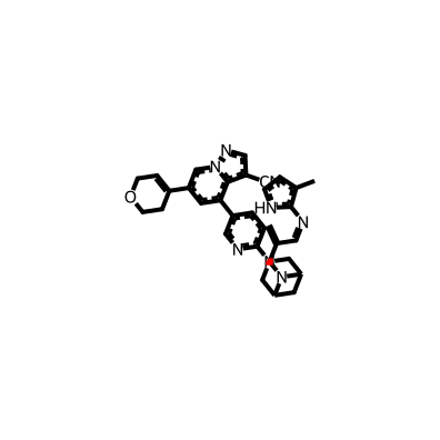 C=C(/C=N\c1[nH]ccc1C)CN1C2CC1CN(c1ccc(-c3cc(C4=CCOCC4)cn4ncc(C#N)c34)cn1)C2